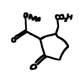 COC(=O)C1C(=O)CCC1C(=O)O